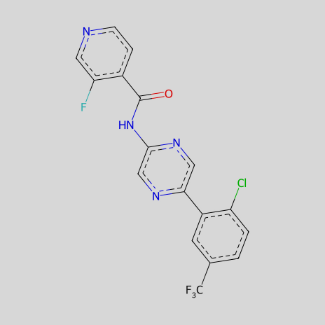 O=C(Nc1cnc(-c2cc(C(F)(F)F)ccc2Cl)cn1)c1ccncc1F